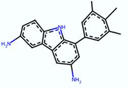 Cc1cc(-c2cc(N)cc3c2[nH]c2ccc(N)cc23)cc(C)c1C